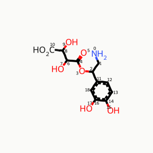 NCC(OC(=O)C(O)C(O)C(=O)O)c1ccc(O)c(O)c1